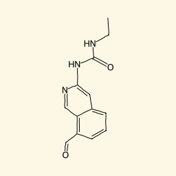 CCNC(=O)Nc1cc2cccc(C=O)c2cn1